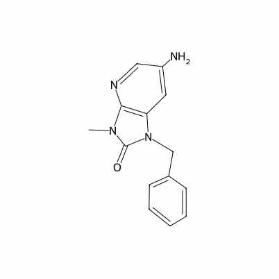 Cn1c(=O)n(Cc2ccccc2)c2cc(N)cnc21